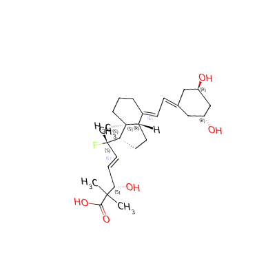 CC(C)(C(=O)O)[C@@H](O)/C=C/[C@](C)(F)[C@H]1CC[C@H]2/C(=C/C=C3C[C@@H](O)C[C@H](O)C3)CCC[C@@]21C